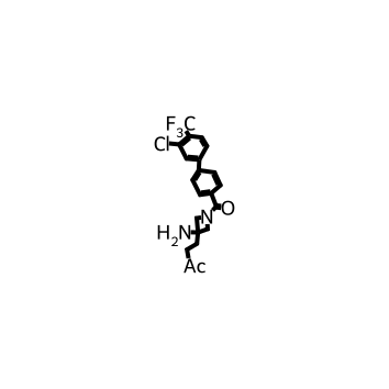 CC(=O)CCC1(N)CN(C(=O)c2ccc(-c3ccc(C(F)(F)F)c(Cl)c3)cc2)C1